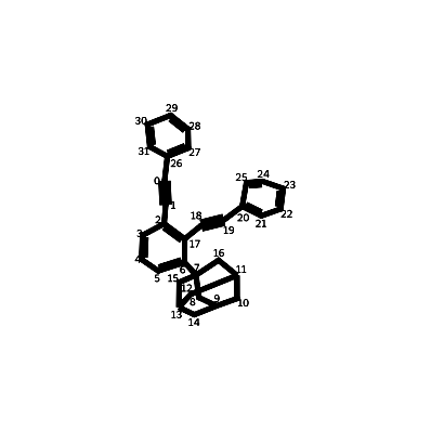 C(#Cc1cccc(C23CC4CC(CC(C4)C2)C3)c1C#Cc1ccccc1)c1ccccc1